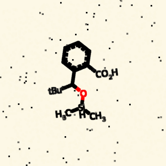 C[SiH](C)OC(c1ccccc1C(=O)O)C(C)(C)C